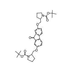 CC(C)(C)OC(=O)N1CCCC1COc1ccc2c(c1)C(=O)c1cc(OCC3CCCN3C(=O)OC(C)(C)C)ccc1-2